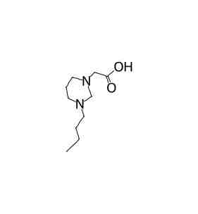 CCCCN1CCCN(CC(=O)O)C1